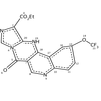 CCOC(=O)c1ncn2c(=O)c3cnc4ccc(OC(F)(F)F)cc4c3[nH]c12